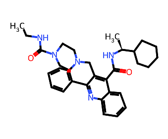 CCNC(=O)N1CCN(Cc2c(-c3ccccc3)nc3ccccc3c2C(=O)N[C@@H](C)C2CCCCC2)CC1